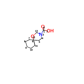 O=C(O)N1CCC2(CCCCC2)OC1